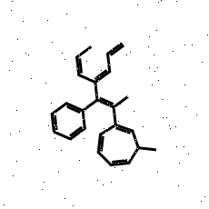 C=C/C=C(\C=C/C)C(=C(\C)C1=CC(C)C=CC=C1)/c1ccccc1